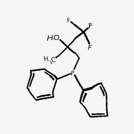 CC(O)(CP(c1ccccc1)c1ccccc1)C(F)(F)F